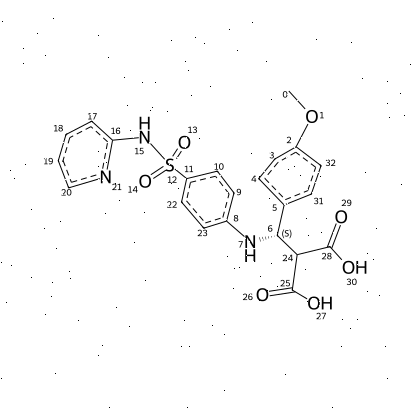 COc1ccc([C@@H](Nc2ccc(S(=O)(=O)Nc3ccccn3)cc2)C(C(=O)O)C(=O)O)cc1